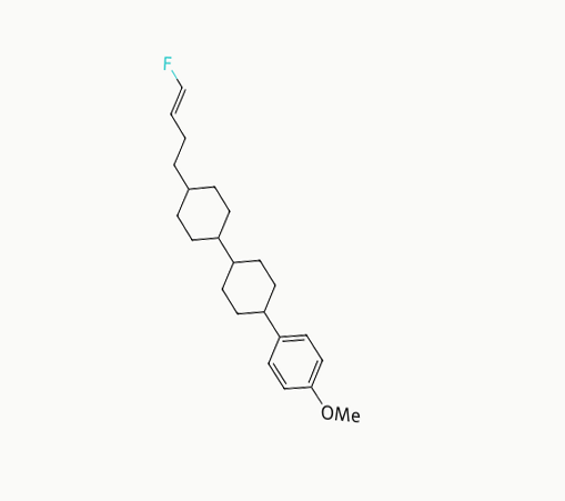 COc1ccc(C2CCC(C3CCC(CCC=CF)CC3)CC2)cc1